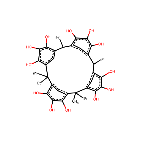 CCC1(C(C)C)c2cc(c(O)c(O)c2O)C(C(C)C)c2cc(c(O)c(O)c2O)C(C(C)C)c2cc(c(O)c(O)c2O)C(C)(C(C)C)c2cc1c(O)c(O)c2O